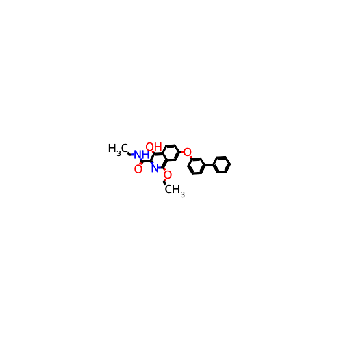 CCNC(=O)c1nc(OCC)c2cc(Oc3cccc(-c4ccccc4)c3)ccc2c1O